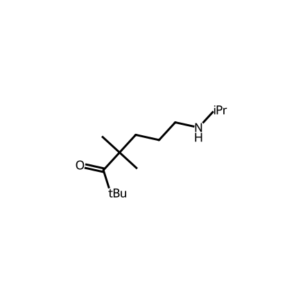 CC(C)NCCCC(C)(C)C(=O)C(C)(C)C